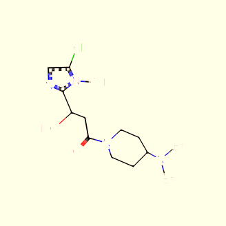 CCN(CC)C1CCN(C(=O)CC(O)c2ncc(Cl)n2C)CC1